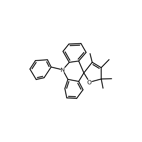 CC1=C(C)C2(OC1(C)C)c1ccccc1N(c1ccccc1)c1ccccc12